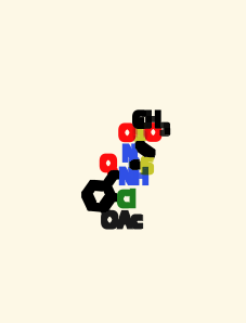 CC(=O)Oc1cccc(C(=O)Nc2nc(S(C)(=O)=O)cs2)c1Cl